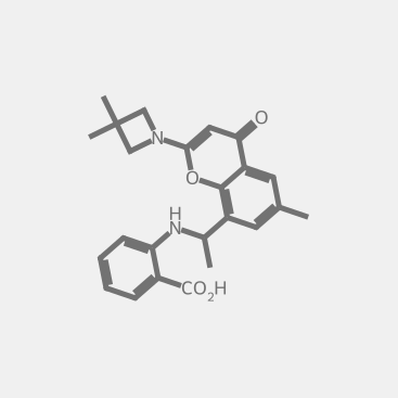 Cc1cc(C(C)Nc2ccccc2C(=O)O)c2oc(N3CC(C)(C)C3)cc(=O)c2c1